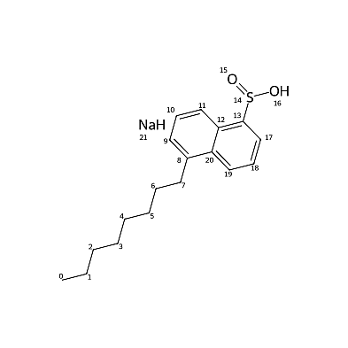 CCCCCCCCc1cccc2c(S(=O)O)cccc12.[NaH]